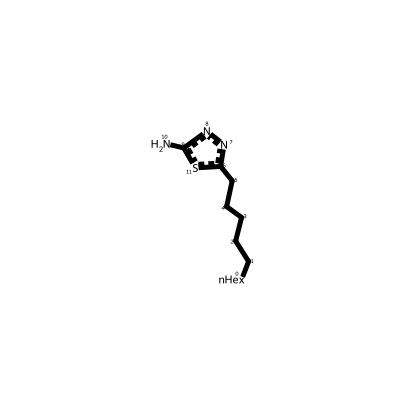 CCCCCCCCCCCc1nnc(N)s1